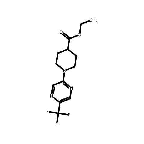 CCOC(=O)C1CCN(c2cnc(C(F)(F)F)cn2)CC1